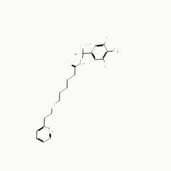 C[C@](O)(NC(=O)CCCCCOCCc1ccccn1)c1cc(Cl)c(N)c(Cl)c1